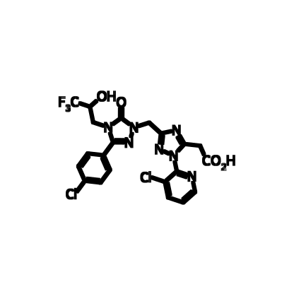 O=C(O)Cc1nc(Cn2nc(-c3ccc(Cl)cc3)n(CC(O)C(F)(F)F)c2=O)nn1-c1ncccc1Cl